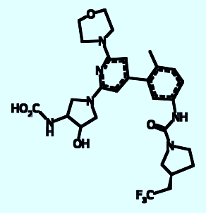 Cc1ccc(NC(=O)N2CC[C@@H](CC(F)(F)F)C2)cc1-c1cc(N2CCOCC2)nc(N2CC(O)C(NC(=O)O)C2)c1